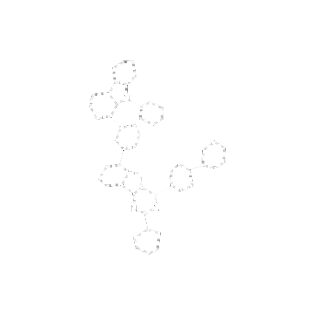 c1ccc(-c2ccc(-c3nc(-c4ccccc4)nc4c3oc3c(-c5cccc(-c6cccc7c8ccccc8n(-c8ccccc8)c67)c5)cccc34)cc2)cc1